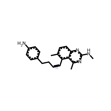 CNc1nc(C)c2c(/C=C\CCc3ccc(N)cc3)c(C)ccc2n1